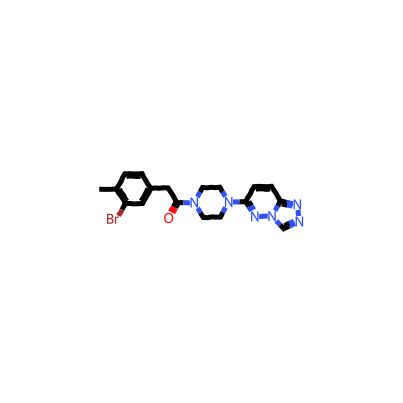 Cc1ccc(CC(=O)N2CCN(c3ccc4nncn4n3)CC2)cc1Br